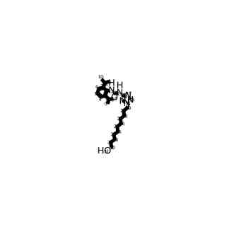 CC(C)c1cccc(C(C)C)c1NC(=O)Nc1nnn(CCCCCCCCCCCO)n1